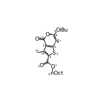 CCCCCCCCOC(=O)c1sc2nc(OCC(C)C)oc(=O)c2c1C